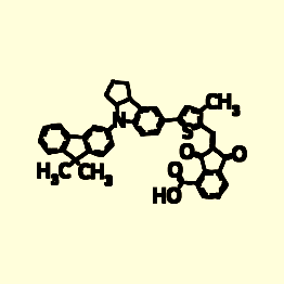 Cc1cc(-c2ccc3c(c2)C2CCCC2N3c2ccc3c(c2)-c2ccccc2C3(C)C)sc1/C=C1/C(=O)c2cccc(C(=O)O)c2C1=O